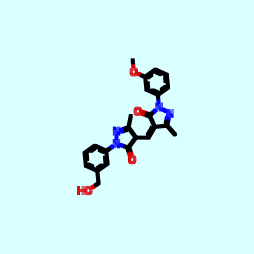 COc1cccc(N2N=C(C)/C(=C/C3C(=O)N(c4cccc(CO)c4)N=C3C)C2=O)c1